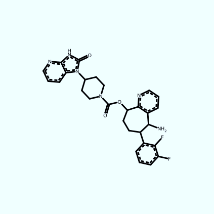 NC1c2cccnc2C(OC(=O)N2CCC(n3c(=O)[nH]c4ncccc43)CC2)CCC1c1cccc(F)c1F